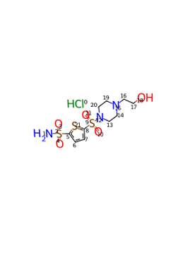 Cl.NS(=O)(=O)c1ccc(S(=O)(=O)N2CCN(CCO)CC2)s1